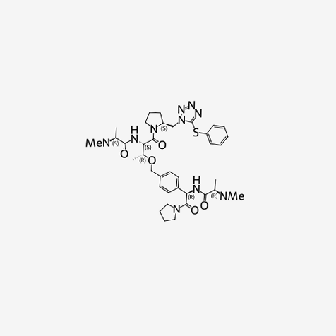 CN[C@@H](C)C(=O)N[C@H](C(=O)N1CCC[C@H]1Cn1nnnc1Sc1ccccc1)[C@@H](C)OCc1ccc([C@@H](NC(=O)[C@@H](C)NC)C(=O)N2CCCC2)cc1